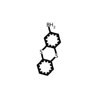 Bc1ccc2c(c1)Sc1ccccc1S2